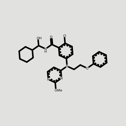 COc1nccc(N(CCOc2ccccc2)c2ccc(Cl)c(C(=O)NC(O)C3CCCCC3)c2)n1